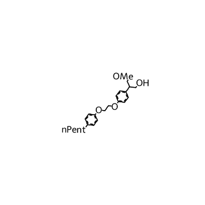 CCCCCc1ccc(OCCOc2ccc(C(CO)COC)cc2)cc1